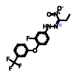 CC/C(=N/Nc1ccc(Oc2cccc(C(F)(F)F)c2)c(F)c1)[N+](=O)[O-]